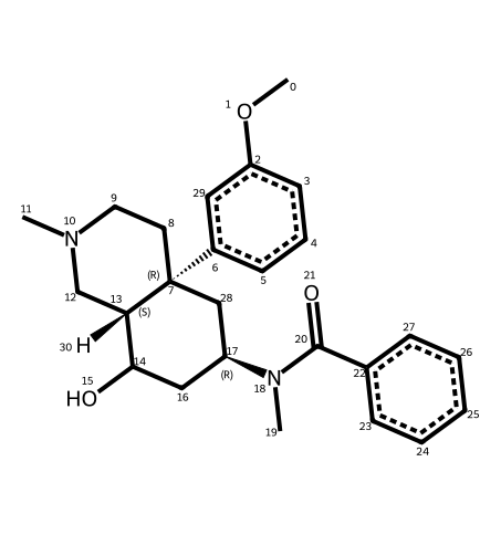 COc1cccc([C@@]23CCN(C)C[C@H]2C(O)C[C@H](N(C)C(=O)c2ccccc2)C3)c1